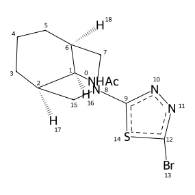 CC(=O)N[C@H]1[C@@H]2CCC[C@H]1CN(c1nnc(Br)s1)C2